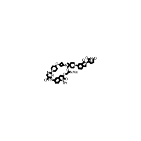 CNC(=O)COc1cc2cc(Nc3nc(N4CCC(O[C@H]5C[C@H](N6CC7(CCN(c8ccc9c(c8)C(=O)N(C8CCC(=O)NC8=O)C9)CC7)C6)C5)CC4)ncc3Cl)ccc2n(C(C)C)c1=O